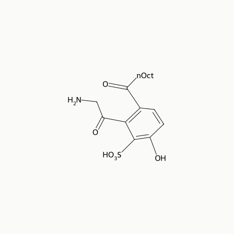 CCCCCCCCC(=O)c1ccc(O)c(S(=O)(=O)O)c1C(=O)CN